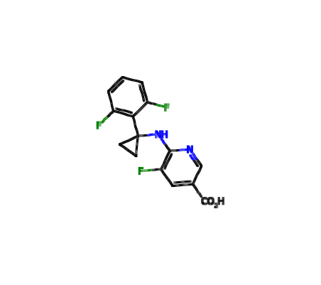 O=C(O)c1cnc(NC2(c3c(F)cccc3F)CC2)c(F)c1